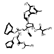 C#C[C@]1(CO[P@@](=O)(N[C@@H](Cc2ccccc2)C(=O)OC(CCC)CCC)Oc2ccccc2)O[C@@H](n2cnc3c(N)nc(F)nc32)C[C@@H]1OC(=O)C(CCC)CCC